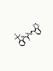 FC(F)(F)c1ccccc1NC(=S)N/N=C/c1cccc2c1OCO2